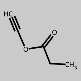 C#COC(=O)CC